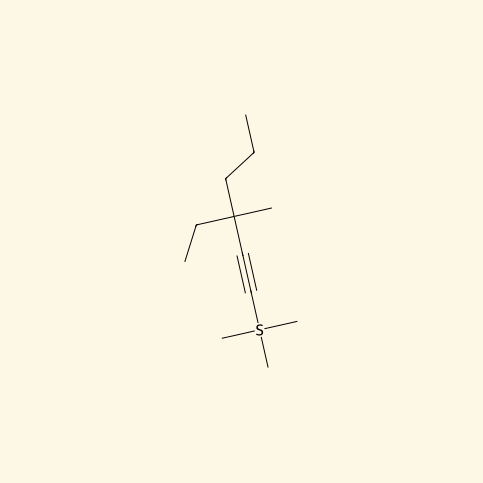 CCCC(C)(C#CS(C)(C)C)CC